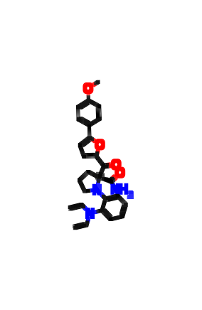 C=CN(C=C)c1ccccc1N1CCC[C@]1(C(N)=O)C(=O)c1ccc(-c2ccc(OC)cc2)o1